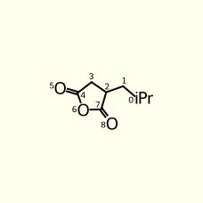 CC(C)CC1CC(=O)OC1=O